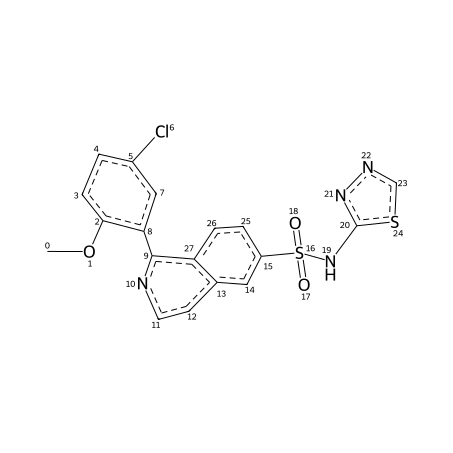 COc1ccc(Cl)cc1-c1nccc2cc(S(=O)(=O)Nc3nncs3)ccc12